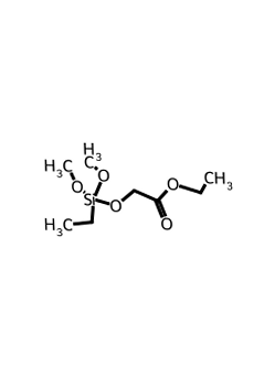 CCOC(=O)CO[Si](CC)(OC)OC